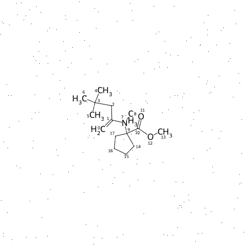 C=C(CC(C)(C)C)N(C)C1(C(=O)OC)CCCC1